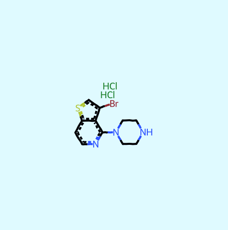 Brc1csc2ccnc(N3CCNCC3)c12.Cl.Cl